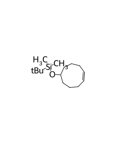 CC(C)(C)[Si](C)(C)OC1CCCC=CCCC1